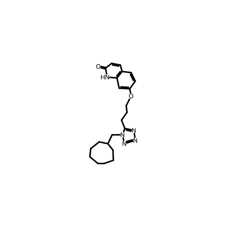 O=c1ccc2ccc(OCCCc3nnnn3CC3CCCCCCC3)cc2[nH]1